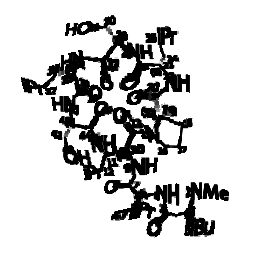 CC[C@H](C)[C@H](NC)C(=O)N[C@H](C(=O)N[C@@H](CC(C)C)C(=O)N1CCC[C@H]1C(=O)N[C@@H](CC(C)C)C(=O)N[C@@H](CO)C(=O)N[C@@H](CC(C)C)C(=O)N[C@@H](CO)C(N)=O)C(C)C